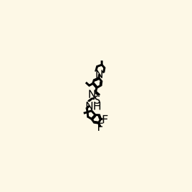 CCc1cc(N2CCC(C)CC2)ccc1-c1csc(CNCC2(C)Cc3cc(F)c(F)cc3C2)n1